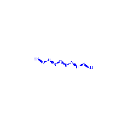 N=N/N=N/N=N/N=N/N=N